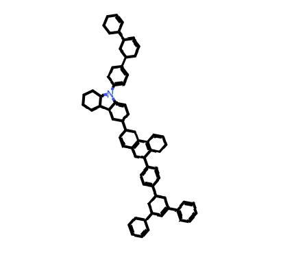 C1=CCC(C2C=C(c3ccccc3)CC(c3ccc(C4CC5=C(CC(C6CC=C7C(C6)C6CCCCC6N7C6=CC=C(C7CC=CC(C8C=CCCC8)C7)CC6)C=C5)C5=C4CCC=C5)cc3)C2)C=C1